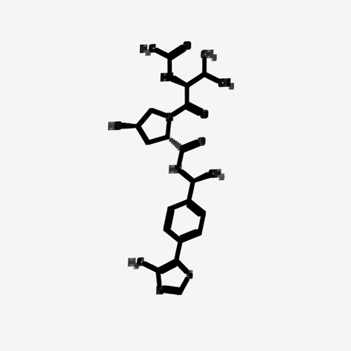 CC(=O)N[C@H](C(=O)N1C[C@H](O)C[C@H]1C(=O)N[C@@H](C)c1ccc(-c2scnc2C)cc1)C(C)C